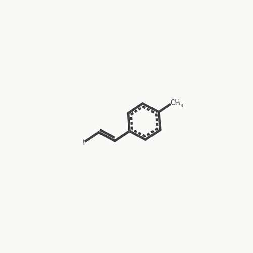 Cc1ccc(C=CI)cc1